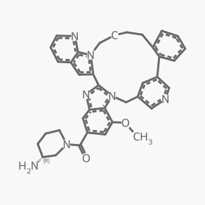 COc1cc(C(=O)N2CCC[C@@H](N)C2)cc2nc3n(c12)Cc1cncc(c1)-c1ccccc1CCCCn1c-3cc2cccnc21